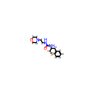 O=C(NCCN1CCOCC1)NC(CS)Cc1ccccc1